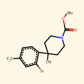 CC(C)(C)OC(=O)N1CCC(C#N)(c2ccc(C(F)(F)F)cc2Br)CC1